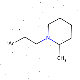 CC(=O)CCN1CCCCC1C